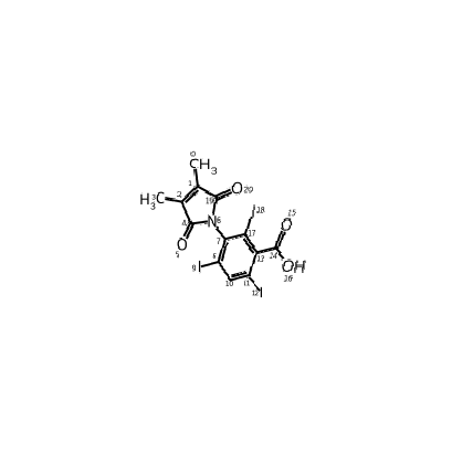 CC1=C(C)C(=O)N(c2c(I)cc(I)c(C(=O)O)c2I)C1=O